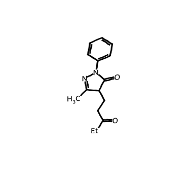 CCC(=O)CCC1C(=O)N(c2ccccc2)N=C1C